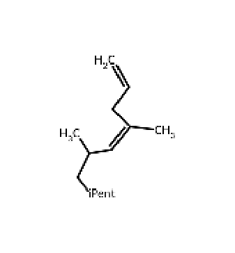 C=CCC(C)=CC(C)CC(C)CCC